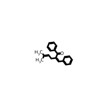 CC(C)=CCC(=Cc1ccccc1)C(=O)c1ccccc1